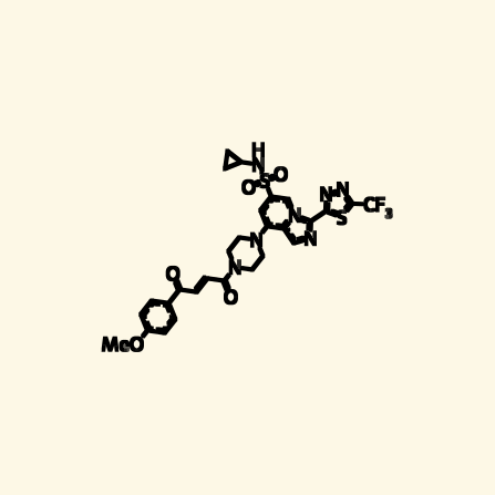 COc1ccc(C(=O)/C=C/C(=O)N2CCN(c3cc(S(=O)(=O)NC4CC4)cn4c(-c5nnc(C(F)(F)F)s5)ncc34)CC2)cc1